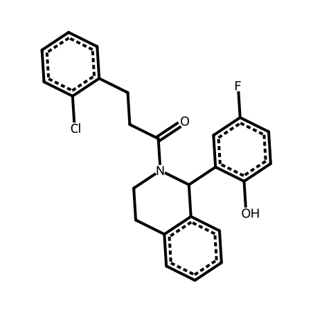 O=C(CCc1ccccc1Cl)N1CCc2ccccc2C1c1cc(F)ccc1O